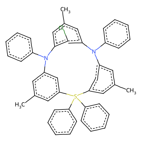 Cc1cc2cc(c1)S(c1ccccc1)(c1ccccc1)c1cc(C)cc(c1)N(c1ccccc1)c1cc(C)cc(c1Cl)N2c1ccccc1